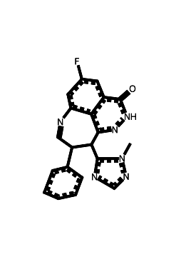 Cn1ncnc1C1c2n[nH]c(=O)c3cc(F)cc(c23)N=CC1c1ccccc1